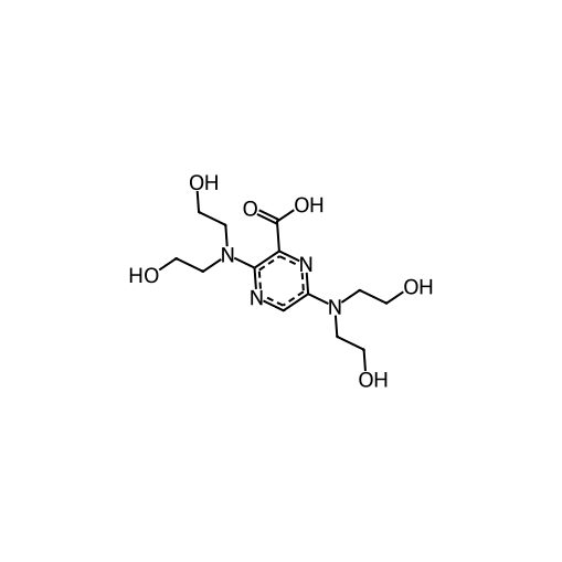 O=C(O)c1nc(N(CCO)CCO)cnc1N(CCO)CCO